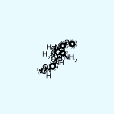 CC(C)(C)OC(=O)NC1CCC(NC(=O)C2Sc3c(N)ccc4c3C2C(N)C(=O)C4(N)c2ccc(Oc3ccccc3)cc2)CC1